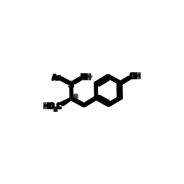 CC(=O)N([NH])[C@@H](Cc1ccc(O)cc1)C(=O)O